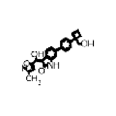 Cc1cc(C(O)=C2C(=O)Nc3cc(-c4ccc(C5(CO)CCC5)cc4)ccc32)on1